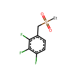 CCS(=O)(=O)Cc1ccc(F)c(F)c1F